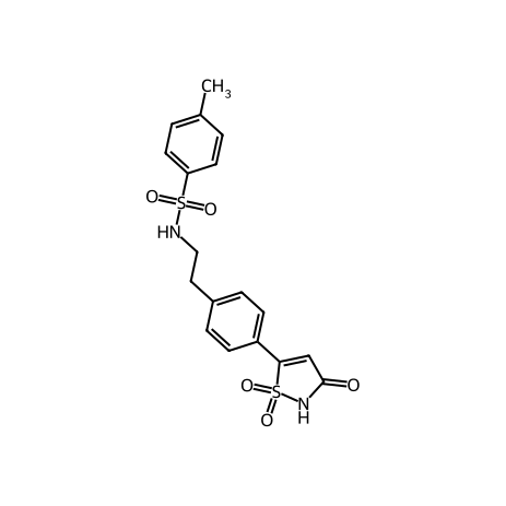 Cc1ccc(S(=O)(=O)NCCc2ccc(C3=CC(=O)NS3(=O)=O)cc2)cc1